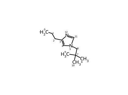 [CH2]CCc1cn(CC(C)(C)C)cn1